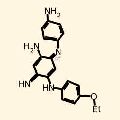 CCOc1ccc(NC2=C/C(=N/c3ccc(N)cc3)C(N)=CC2=N)cc1